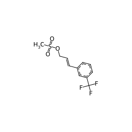 CS(=O)(=O)OCC=Cc1cccc(C(F)(F)F)c1